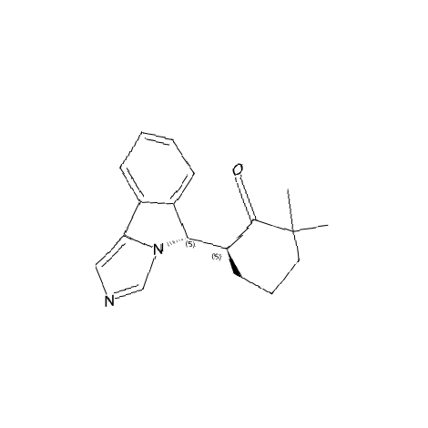 CC1(C)CCC[C@@H]([C@H]2c3ccccc3-c3cncn32)C1=O